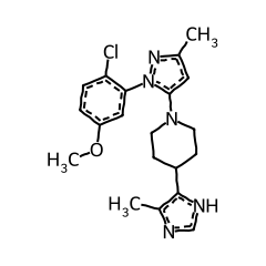 COc1ccc(Cl)c(-n2nc(C)cc2N2CCC(c3[nH]cnc3C)CC2)c1